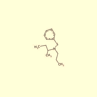 CCCN(Sc1ccccc1)C(C)CC